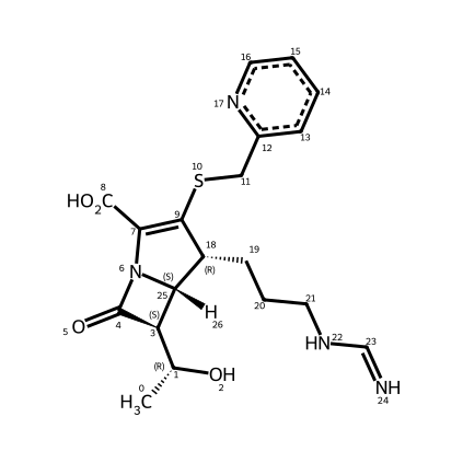 C[C@@H](O)[C@H]1C(=O)N2C(C(=O)O)=C(SCc3ccccn3)[C@H](CCCNC=N)[C@H]12